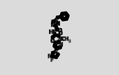 CN1C(=O)[C@@H](NC(=O)c2ncn(Cc3ccccc3)n2)COc2cc(N3CCC(F)(F)C3)cnc21